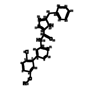 CCOc1ccc(Cl)c(-c2ccnc(NC(=O)c3nnc(Cc4ccccc4)[nH]3)c2)c1